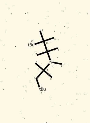 CN(C(C)(C)CC(C)(C)C)C(C)(C)C(C)(C)C(C)(C)C